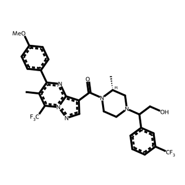 COc1ccc(-c2nc3c(C(=O)N4CCN(C(CO)c5cccc(C(F)(F)F)c5)C[C@H]4C)cnn3c(C(F)(F)F)c2C)cc1